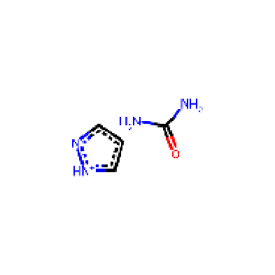 NC(N)=O.c1c[n-][nH+]c1